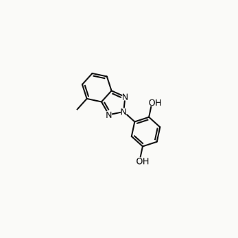 Cc1cccc2nn(-c3cc(O)ccc3O)nc12